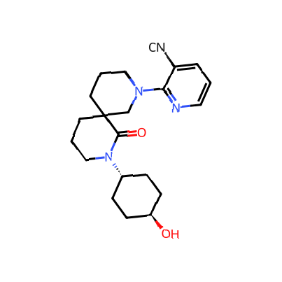 [C-]#[N+]c1cccnc1N1CCCC2(CCCN([C@H]3CC[C@H](O)CC3)C2=O)C1